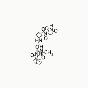 CC1NN=C(CC23CC4CC(CC(C4)C2C(=O)NCCOCCNc2cccc4c2C(=O)N(C2CCC(=O)NC2=O)C4=O)C3)C1=O